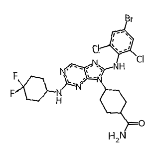 NC(=O)C1CCC(n2c(Nc3c(Cl)cc(Br)cc3Cl)nc3cnc(NC4CCC(F)(F)CC4)nc32)CC1